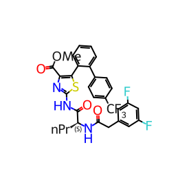 CCC[C@H](NC(=O)Cc1cc(F)cc(F)c1)C(=O)Nc1nc(C(=O)OC)c(-c2ccccc2-c2ccc(C(F)(F)F)cc2)s1